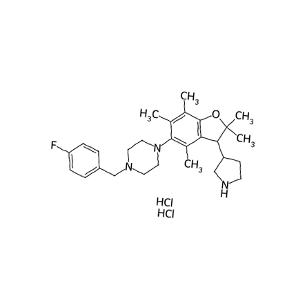 Cc1c(C)c(N2CCN(Cc3ccc(F)cc3)CC2)c(C)c2c1OC(C)(C)C2C1CCNC1.Cl.Cl